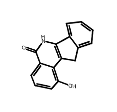 O=c1[nH]c2c(c3c(O)cccc13)Cc1ccccc1-2